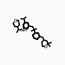 CC(C)c1cc(CC(C)(C)c2cccc(CC3CCOC(C)(C)C3)c2)cc(NC(C)C2CCOCC2)c1